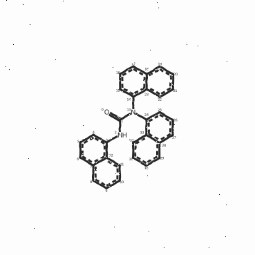 O=C(Nc1cccc2ccccc12)N(c1cccc2ccccc12)c1cccc2ccccc12